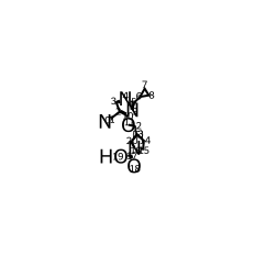 N#Cc1cnc(C2CC2)nc1OC[C@H]1CCN(C(=O)O)C1